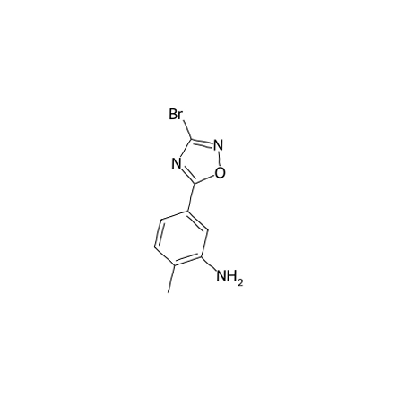 Cc1ccc(-c2nc(Br)no2)cc1N